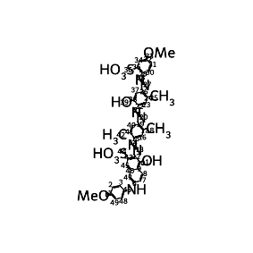 COc1ccc(Nc2ccc3c(O)c(N=Nc4cc(C)c(N=Nc5cc(C)c(N=Nc6ccc(OC)cc6S(=O)(=O)O)cc5O)cc4C)c(S(=O)(=O)O)cc3c2)cc1